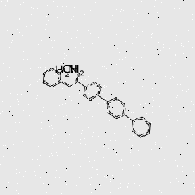 C=c1cccc/c1=C/C(=C\N)c1ccc(-c2ccc(-c3ccccc3)cc2)cc1